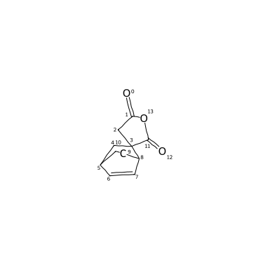 O=C1CC2(CC3C=CC2CC3)C(=O)O1